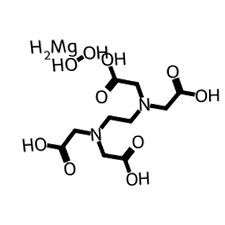 O=C(O)CN(CCN(CC(=O)O)CC(=O)O)CC(=O)O.OO.[MgH2]